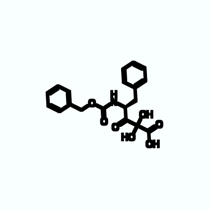 O=C(N[C@@H](Cc1ccccc1)C(=O)C(O)(O)C(=O)O)OCc1ccccc1